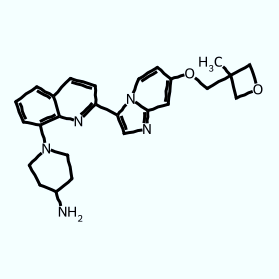 CC1(COc2ccn3c(-c4ccc5cccc(N6CCC(N)CC6)c5n4)cnc3c2)COC1